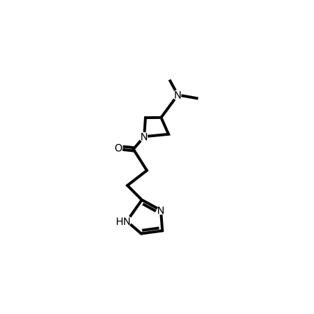 CN(C)C1CN(C(=O)CCc2ncc[nH]2)C1